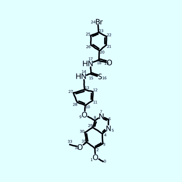 COc1cc2ncnc(Oc3ccc(NC(=S)NC(=O)c4ccc(Br)cc4)cc3)c2cc1OC